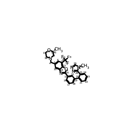 C[C@@H]1CN(Cc2cc(C(F)(F)F)c3oc(-c4cccc(-c5ccccc5-c5nncn5C)c4)nc3c2)CCO1